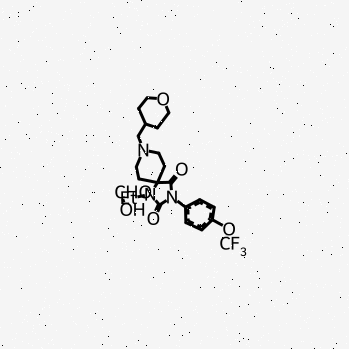 CCN1C(=O)N(c2ccc(OC(F)(F)F)cc2)C(=O)C12CCN(CC1CCOCC1)CC2.O=CO